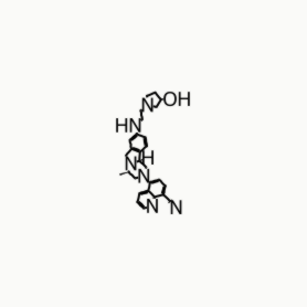 C[C@@H]1CN(c2ccc(C#N)c3ncccc23)C[C@@H]2c3ccc(NCCN4CC[C@H](O)C4)cc3CN12